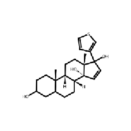 C[C@]12CCC(O)CC1CC[C@@H]1[C@H]2CC[C@]2(C)C(O)(c3ccsc3)C=C[C@@]12O